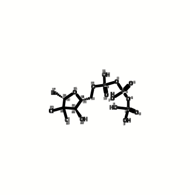 O=P(O)(O)OP(=O)(O)OP(=O)(O)OC[C@H]1O[C@@H](Br)C(Cl)(Cl)[C@@H]1O